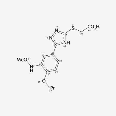 CONc1cc(-c2nnc(SCC(=O)O)[nH]2)ccc1OC(C)C